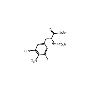 COC(=O)C(Cc1cc(C)c([N+](=O)[O-])c([N+](=O)[O-])c1)NC(=O)O